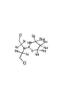 [2H]C([2H])(CCl)N(P1NC([2H])([2H])C([2H])([2H])C([2H])([2H])O1)C([2H])([2H])CCl